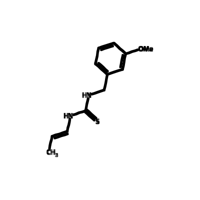 CC=CNC(=S)NCc1cccc(OC)c1